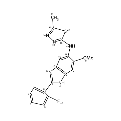 COc1cc2[nH]c(-c3ccccc3F)nc2cc1Nc1nnc(C)s1